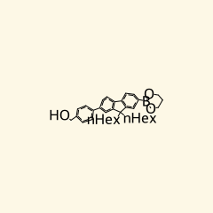 CCCCCCC1(CCCCCC)c2cc(B3OCCCO3)ccc2-c2ccc(-c3ccc(CO)cc3)cc21